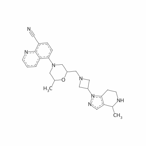 CC1CN(c2ccc(C#N)c3ncccc23)CC(CN2CC(n3ncc4c3CCNC4C)C2)O1